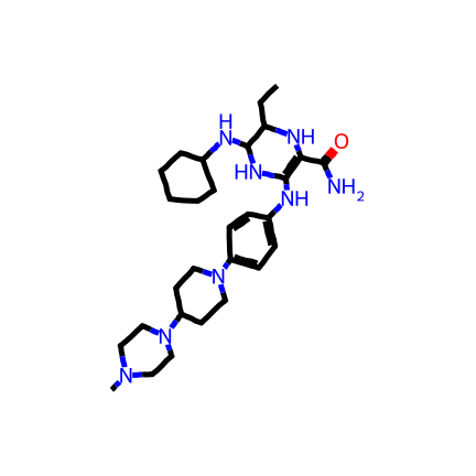 CCC1NC(C(N)=O)=C(Nc2ccc(N3CCC(N4CCN(C)CC4)CC3)cc2)NC1NC1CCCCC1